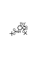 COC(=O)[C@@]1(C(=O)OC(C)(C)C)C[C@H](NC(=O)OC(C)(C)C)CCN1